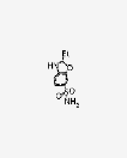 CCC1Nc2ccc(S(N)(=O)=O)cc2O1